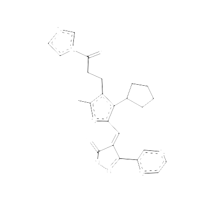 Cc1[nH]c(C=C2C(=O)NN=C2c2cnccn2)c(C2CCCC2)c1CCC(=O)n1ccnc1